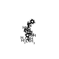 CC(C)(C)N[C@@H]1CC[C@H](N2CCC(NC(=O)c3csc(-c4ccccc4)n3)C2=O)[C@](C)(C(=O)O)C1